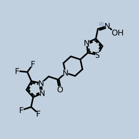 O=C(Cn1nc(C(F)F)cc1C(F)F)N1CCC(c2nc(/C=N\O)cs2)CC1